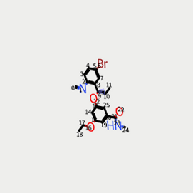 C=Nc1ccc(Br)cc1/C(=C\C)Oc1cc(OCC)cc(C(=O)NC)c1